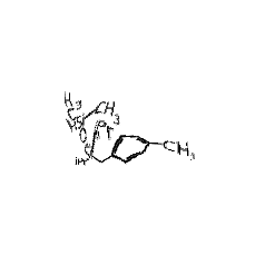 Cc1ccc(C[Si](O[SiH](C)C)(C(C)C)C(C)C)cc1